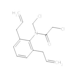 C=CCc1cccc(CC=C)c1N(CCl)C(=O)CCl